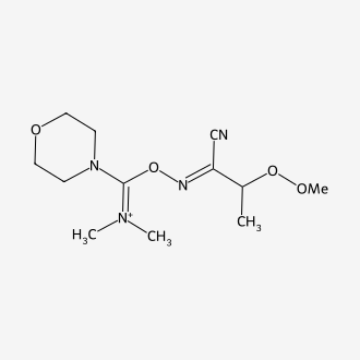 COOC(C)/C(C#N)=N/OC(N1CCOCC1)=[N+](C)C